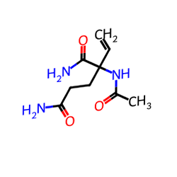 C=CC(CCC(N)=O)(NC(C)=O)C(N)=O